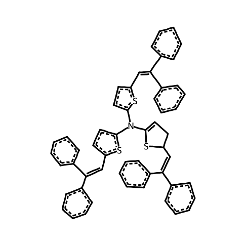 C(=C(c1ccccc1)c1ccccc1)c1ccc(N(C2=CCC(C=C(c3ccccc3)c3ccccc3)S2)c2ccc(C=C(c3ccccc3)c3ccccc3)s2)s1